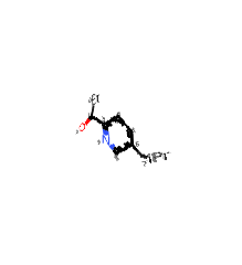 CCC(=O)c1ccc(C(C)C)cn1